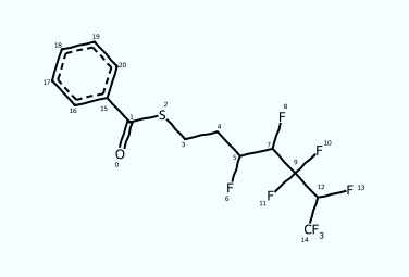 O=C(SCCC(F)C(F)C(F)(F)C(F)C(F)(F)F)c1ccccc1